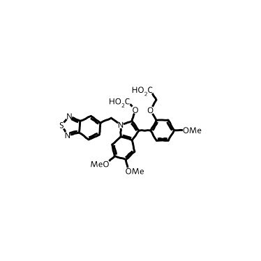 COc1ccc(-c2c(OC(=O)O)n(Cc3ccc4nsnc4c3)c3cc(OC)c(OC)cc23)c(OCC(=O)O)c1